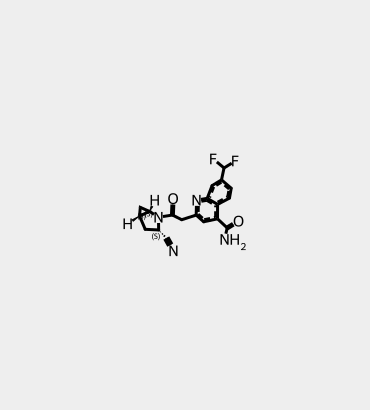 N#C[C@@H]1C[C@@H]2C[C@@H]2N1C(=O)Cc1cc(C(N)=O)c2ccc(C(F)F)cc2n1